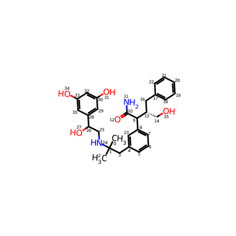 CC(C)(Cc1cccc(C(C(N)=O)[C@@H](CO)Cc2ccccc2)c1)NCC(O)c1cc(O)cc(O)c1